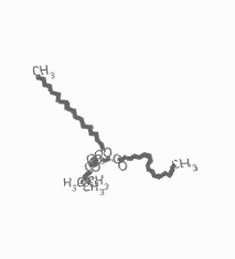 CC/C=C\C/C=C\C/C=C\C/C=C\CCCCC(=O)OC[C@H](COP(=O)([O-])OCC[N+](C)(C)C)OC(=O)CCCCCCCCCCCCCCCCCCC